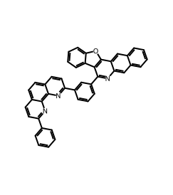 c1ccc(-c2ccc3ccc4ccc(-c5cccc(-c6nc7cc8ccccc8cc7c7oc8ccccc8c67)c5)nc4c3n2)cc1